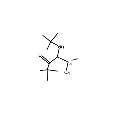 C[C@H](O)C(NC(C)(C)C)C(=O)C(C)(C)C